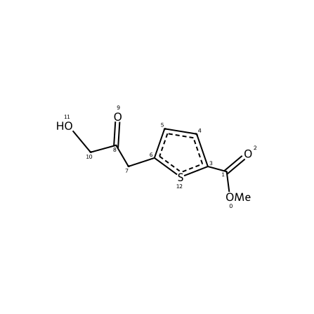 COC(=O)c1ccc(CC(=O)CO)s1